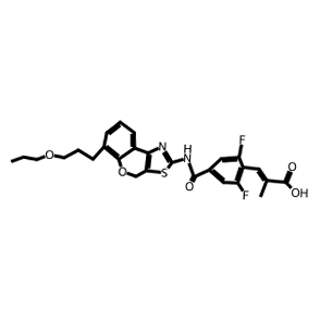 CCCOCCCc1cccc2c1OCc1sc(NC(=O)c3cc(F)c(C=C(C)C(=O)O)c(F)c3)nc1-2